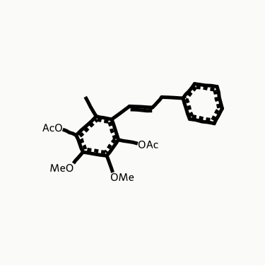 COc1c(OC(C)=O)c(C)c(C=CCc2ccccc2)c(OC(C)=O)c1OC